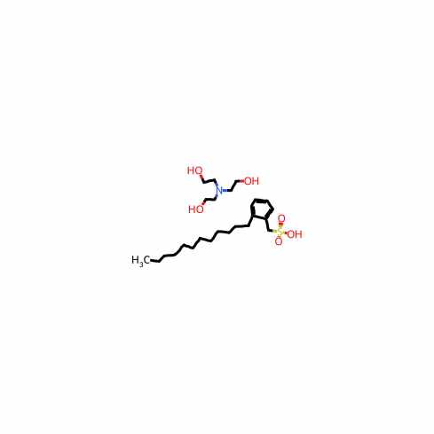 CCCCCCCCCCCCc1ccccc1CS(=O)(=O)O.OCCN(CCO)CCO